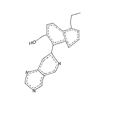 CCc1cccc2c(-c3cc4ncncc4cn3)c(O)ccc12